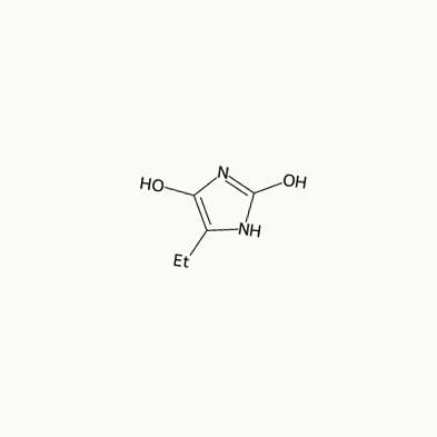 CCc1[nH]c(O)nc1O